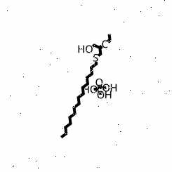 CC=C=C(CO)CSCCCCCCCCCCCCCCCC.O=P(O)(O)O